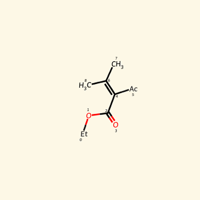 CCOC(=O)C(C(C)=O)=C(C)C